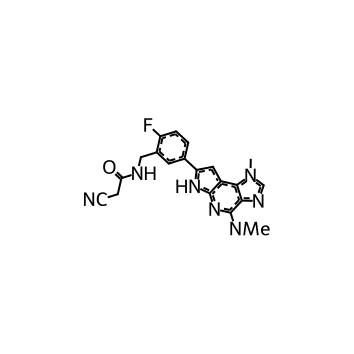 CNc1nc2[nH]c(-c3ccc(F)c(CNC(=O)CC#N)c3)cc2c2c1ncn2C